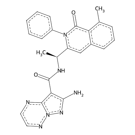 Cc1cccc2cc([C@H](C)NC(=O)c3c(N)nn4nccnc34)n(-c3ccccc3)c(=O)c12